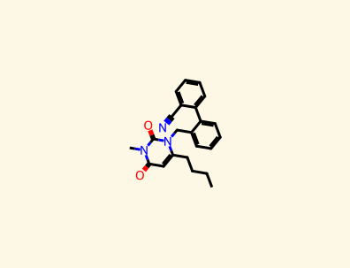 CCCCc1cc(=O)n(C)c(=O)n1Cc1ccccc1-c1ccccc1C#N